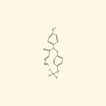 COc1ccc(C(Sc2ccc(OC(F)(F)F)cc2)C(=O)C=NN)cc1